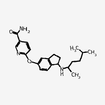 CC(C)CCC(C)NC1CCc2cc(Oc3ccc(C(N)=O)cn3)ccc21